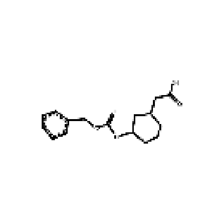 O=C(O)CC1CCCC(NC(=O)OCc2ccccc2)C1